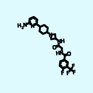 Nc1cccc(C2CCC(N3CC(NC(=O)CNC(=O)c4ccc(F)c(C(F)(F)F)c4)C3)CC2)n1